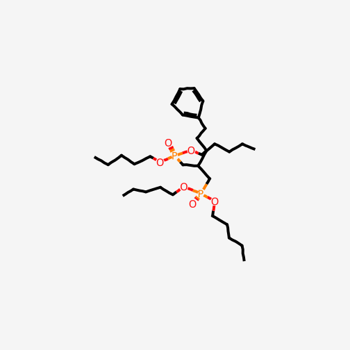 CCCCCOP(=O)(CC(CCCc1ccccc1)CP(=O)(OCCCCC)OCCCCC)OCCCCC